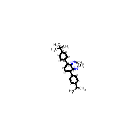 C/N=C1/C(c2ccc(C(C)C)cc2)=CC=C(c2ccc(C(C)(C)C)cc2)/C1=N/C